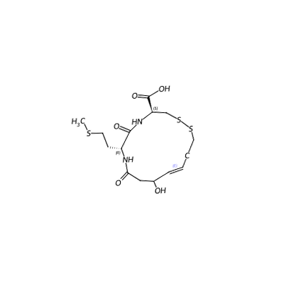 CSCC[C@H]1NC(=O)CC(O)/C=C/CCSSC[C@H](C(=O)O)NC1=O